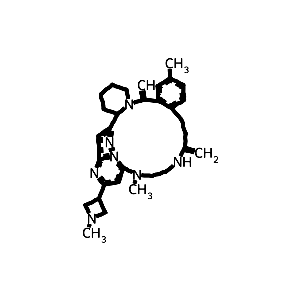 C=C1CCc2ccc(C)cc2C(=C)N2CCCCC2c2cc3nc(C4CN(C)C4)cc(n3n2)N(C)CCN1